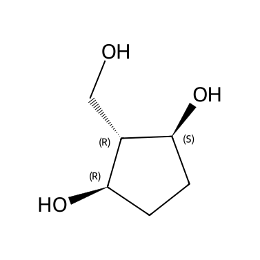 OC[C@H]1[C@H](O)CC[C@@H]1O